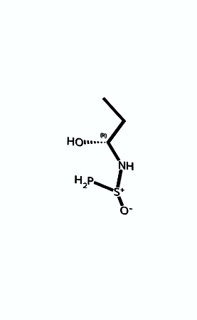 CC[C@@H](O)N[S+]([O-])P